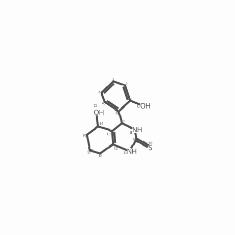 Oc1ccccc1C1NC(=S)NC2=C1C(O)CCC2